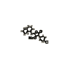 COC1=C(c2ccc(Cl)cc2)C(=O)OC1=Cc1cccc2ccccc12